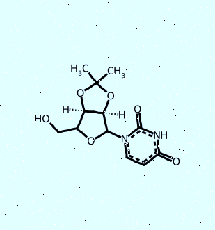 CC1(C)O[C@@H]2C(CO)OC(n3ccc(=O)[nH]c3=O)[C@@H]2O1